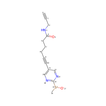 C#CCNC(=O)CCCC#Cc1cnc([S+](C)[O-])nc1